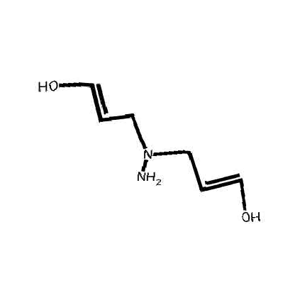 NN(CC=CO)CC=CO